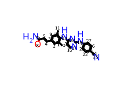 Cc1cc(C=CC(N)=O)cc(C)c1Nc1ccnc(Nc2ccc(C#N)cc2)n1